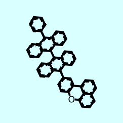 c1ccc(-c2c3ccccc3c(-c3c4ccccc4c(-c4ccc5c(c4)-c4cccc6cccc(c46)O5)c4ccccc34)c3ccccc23)cc1